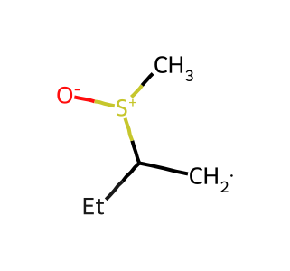 [CH2]C(CC)[S+](C)[O-]